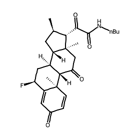 CCCCNC(=O)C(=O)[C@H]1[C@H](C)C[C@H]2[C@@H]3C[C@H](F)C4=CC(=O)C=C[C@]4(C)[C@H]3C(=O)C[C@@]21C